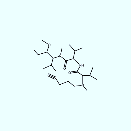 C#CCCCN(C)C(C(=O)NC(C(=O)N(C)C(C(C)C)C(CC)OC)C(C)C)C(C)C